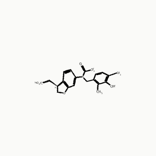 Cc1c(CN(C(=O)C(F)(F)F)c2ccc3c(c2)OC[C@H]3CC(=O)O)ccc(C(F)(F)F)c1O